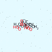 C=C(C)C(=O)O.C=C(C)C(=O)O.C=C(C)C(=O)O.O=C1CCCCCO1